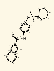 C[N+](C)(Cc1ccc(NC(=O)c2cc3ccccc3o2)cc1)C1CCCCC1